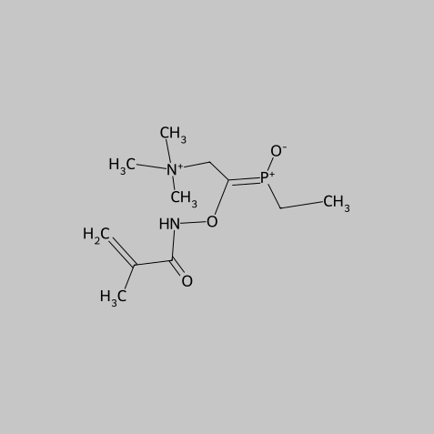 C=C(C)C(=O)NO/C(C[N+](C)(C)C)=[P+](/[O-])CC